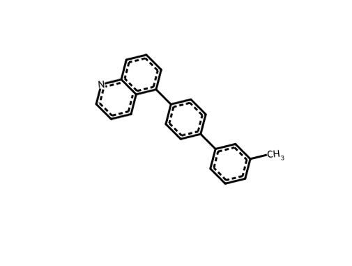 Cc1cccc(-c2ccc(-c3cccc4ncccc34)cc2)c1